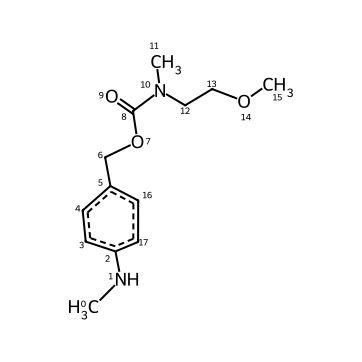 CNc1ccc(COC(=O)N(C)CCOC)cc1